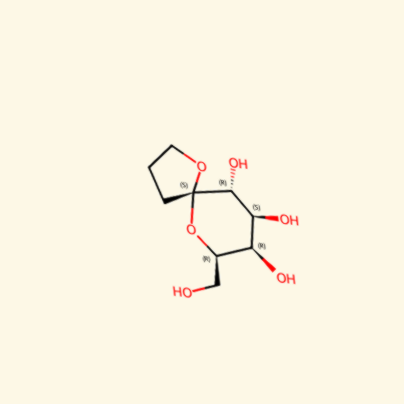 OC[C@H]1O[C@@]2(CCCO2)[C@H](O)[C@@H](O)[C@H]1O